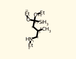 CCNCC(C)CC([SiH3])(OCC)OCC